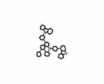 c1ccc(-c2ccccc2-c2ccccc2N(c2ccc(-c3cccc(-n4c5ccccc5c5ccccc54)c3)cc2)c2ccc(-c3cccc4oc5ccccc5c34)cc2)cc1